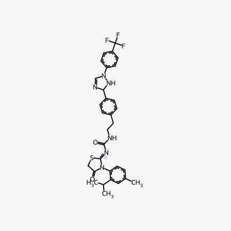 Cc1ccc(N2C(=O)CS/C2=N\C(=O)NCCc2ccc(C3N=CN(c4ccc(C(F)(F)F)cc4)N3)cc2)c(C(C)C)c1